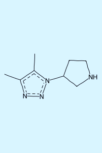 Cc1nnn(C2CCNC2)c1C